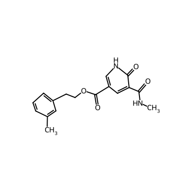 CNC(=O)c1cc(C(=O)OCCc2cccc(C)c2)c[nH]c1=O